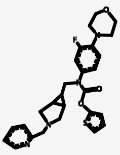 O=C(Oc1cccs1)N(CC1C2CN(Cc3ccccn3)CC21)c1ccc(N2CCOCC2)c(F)c1